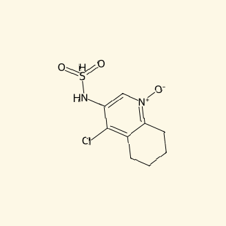 O=[SH](=O)Nc1c[n+]([O-])c2c(c1Cl)CCCC2